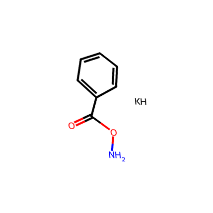 NOC(=O)c1ccccc1.[KH]